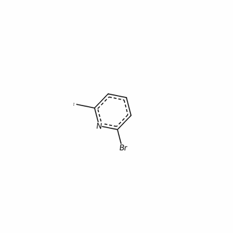 [CH]c1cccc(Br)n1